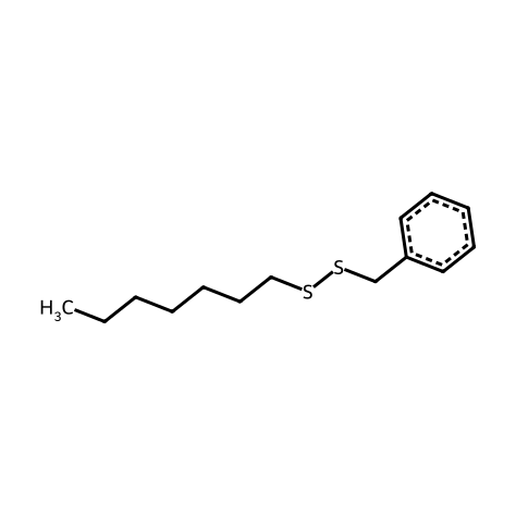 CCCCCCCSSCc1ccccc1